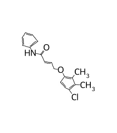 Cc1c(Cl)ccc(OCC=CC(=O)Nc2ccccc2)c1C